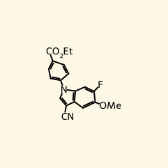 CCOC(=O)c1ccc(-n2cc(C#N)c3cc(OC)c(F)cc32)cc1